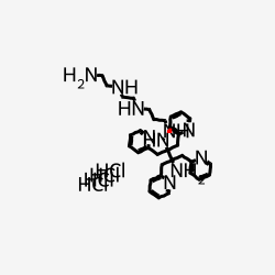 Cl.Cl.Cl.Cl.NCCNCCNCCCNNC(Cc1ccccn1)(Cc1ccccn1)C(N)(Cc1ccccn1)Cc1ccccn1